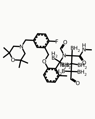 BC(B)(c1c(C)cccc1OCc1cc(CN2CC(C)(C)OC(C)(C)C2)ccc1F)N(C=O)C(B)(C(=O)NC)C(B)(B)C(B)(B)C=O